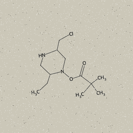 CCC1CNC(CCl)CN1OC(=O)C(C)(C)C